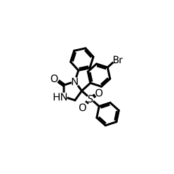 O=C1NCC(c2ccc(Br)cc2)(S(=O)(=O)c2ccccc2)N1c1ccccc1